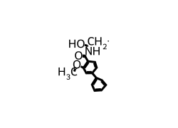 [CH2]C(O)NC(=O)c1ccc(-c2ccccc2)cc1OC